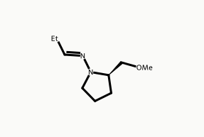 CC/C=N/N1CCC[C@@H]1COC